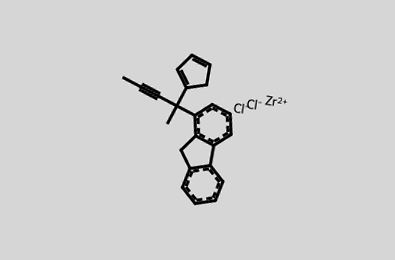 CC#CC(C)(C1=CC=CC1)c1cccc2c1Cc1ccccc1-2.[Cl-].[Cl-].[Zr+2]